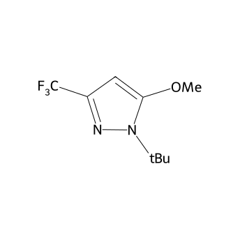 COc1cc(C(F)(F)F)nn1C(C)(C)C